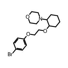 Brc1ccc(OCCOC2CCCCC2N2CCOCC2)cc1